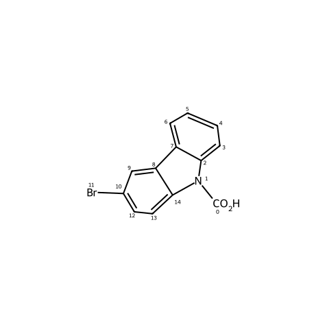 O=C(O)n1c2ccccc2c2cc(Br)ccc21